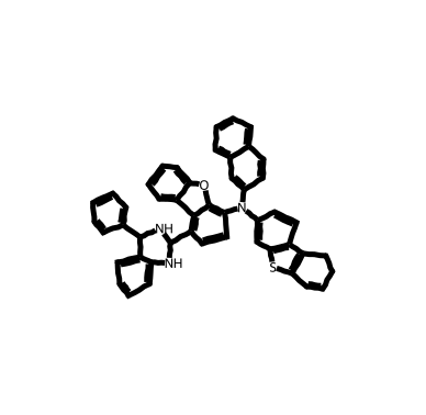 C1=Cc2sc3cc(N(c4ccc5ccccc5c4)c4ccc(C5Nc6ccccc6C(c6ccccc6)N5)c5c4oc4ccccc45)ccc3c2CC1